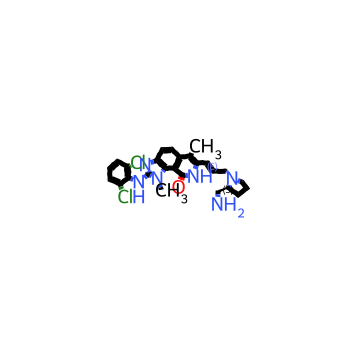 Cc1c(/C=C/CN2CCC[C@H]2CN)[nH]c(=O)c2c1ccc1nc(Nc3c(Cl)cccc3Cl)n(C)c12